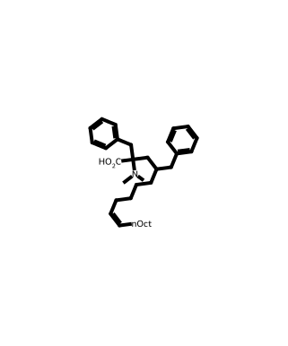 CCCCCCCC/C=C\CCCCC(Cc1ccccc1)CC(Cc1ccccc1)(C(=O)O)N(C)C